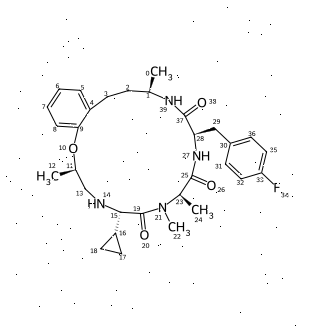 C[C@@H]1CCc2ccccc2O[C@H](C)CN[C@@H](C2CC2)C(=O)N(C)[C@H](C)C(=O)N[C@H](Cc2ccc(F)cc2)C(=O)N1